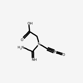 N=C(N)N(C#P=O)CC(=O)O